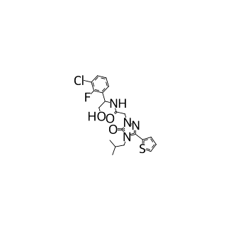 CC(C)Cn1c(-c2cccs2)nn(CC(=O)NC(CO)c2cccc(Cl)c2F)c1=O